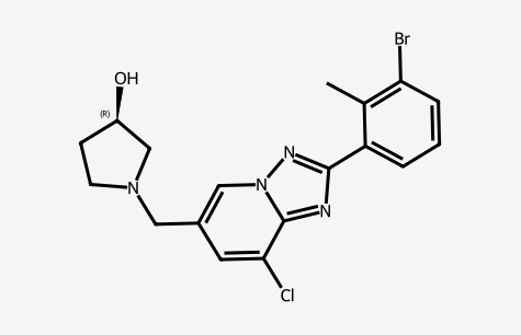 Cc1c(Br)cccc1-c1nc2c(Cl)cc(CN3CC[C@@H](O)C3)cn2n1